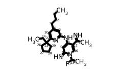 CCCCc1cc(Nc2cc(=N)n(C(C)F)cc2C(C)=N)nc(C2(CC)CCCC2)c1